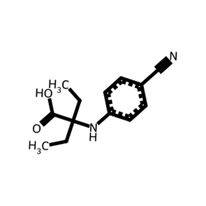 CCC(CC)(Nc1ccc(C#N)cc1)C(=O)O